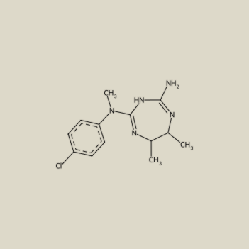 CC1N=C(N)NC(N(C)c2ccc(Cl)cc2)=NC1C